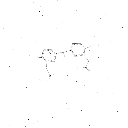 C=C(F)Cc1cc(C(c2ccc(O)c(CC(=C)F)c2)(C(F)(F)F)C(F)(F)F)ccc1O